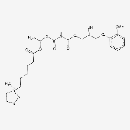 COc1ccccc1OCC(O)COC(=O)NC(=O)OC(C)OC(=O)CCCCC[C@]1(C)CCSS1